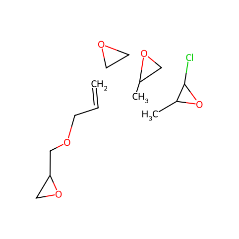 C1CO1.C=CCOCC1CO1.CC1CO1.CC1OC1Cl